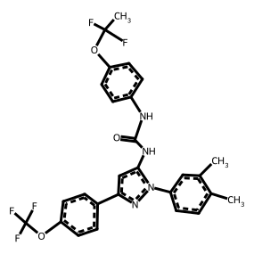 Cc1ccc(-n2nc(-c3ccc(OC(F)(F)F)cc3)cc2NC(=O)Nc2ccc(OC(C)(F)F)cc2)cc1C